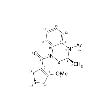 COC1=C(C(=O)N2C[C@H](C)N(C(C)=O)c3ccccc32)CSC1